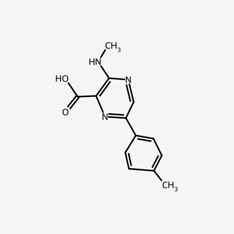 CNc1ncc(-c2ccc(C)cc2)nc1C(=O)O